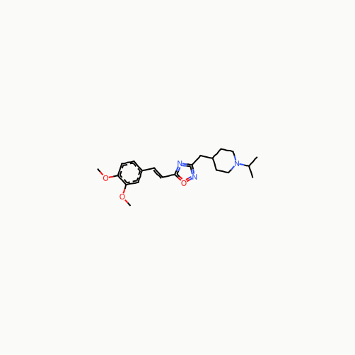 COc1ccc(/C=C/c2nc(CC3CCN(C(C)C)CC3)no2)cc1OC